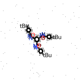 CC(C)(C)c1ccc(-c2nnc(-c3cc(-c4nnc(-c5ccc(C(C)(C)C)cc5)o4)cc(-c4nnc(-c5ccc(C(C)(C)C)cc5)o4)c3)o2)cc1